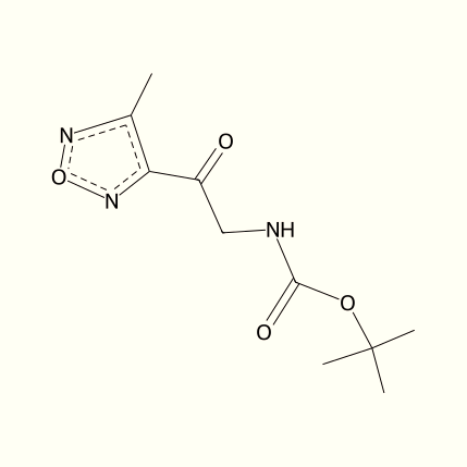 Cc1nonc1C(=O)CNC(=O)OC(C)(C)C